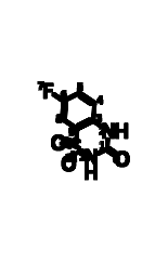 O=C1Nc2ccc(F)cc2S(=O)(=O)N1